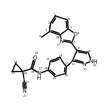 Cc1cccc2oc(-c3c[nH]nc3-c3ccc(NC(=O)C4(C#N)CC4)cc3)nc12